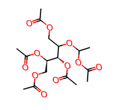 CC(=O)OCC(OC(C)OC(C)=O)[C@@H](OC(C)=O)[C@@H](COC(C)=O)OC(C)=O